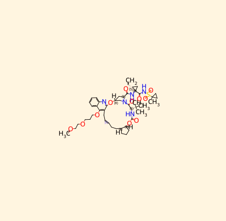 C=C[C@@H]1C[C@]1(NC(=O)[C@@H]1C[C@@H]2CN1C(=O)[C@H](C(C)(C)C)NC(=O)O[C@@H]1CCC[C@H]1CC/C=C/Cc1c(nc3ccccc3c1OCCCOCCOC)O2)C(=O)NS(=O)(=O)C1(C)CC1